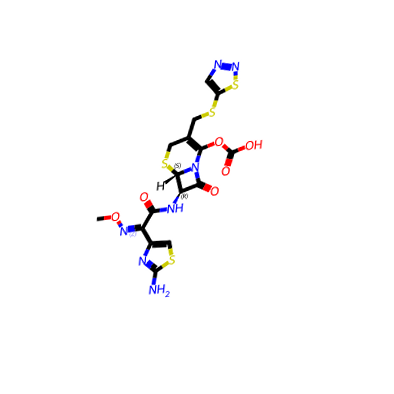 CO/N=C(\C(=O)N[C@@H]1C(=O)N2C(OC(=O)O)=C(CSc3cnns3)CS[C@@H]12)c1csc(N)n1